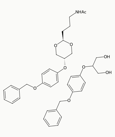 CC(=O)NCCC[C@H]1OC[C@H](Oc2ccc(OCc3ccccc3)cc2)CO1.OCC(CO)Oc1ccc(OCc2ccccc2)cc1